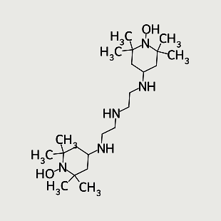 CC1(C)CC(NCCNCCNC2CC(C)(C)N(O)C(C)(C)C2)CC(C)(C)N1O